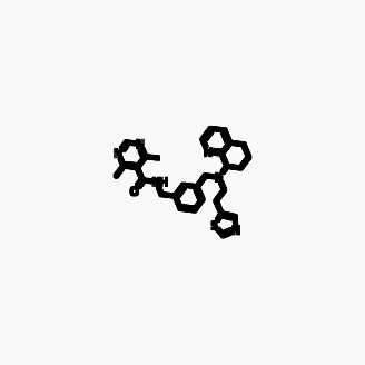 Cc1ncnc(C)c1C(=O)NCc1cccc(CN(CCc2cncs2)C2CCCc3cccnc32)c1